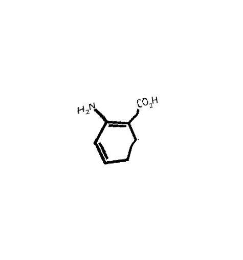 NC1=C(C(=O)O)[CH]CC=C1